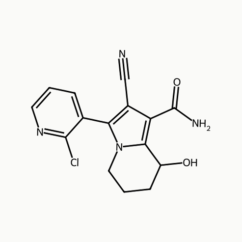 N#Cc1c(C(N)=O)c2n(c1-c1cccnc1Cl)CCCC2O